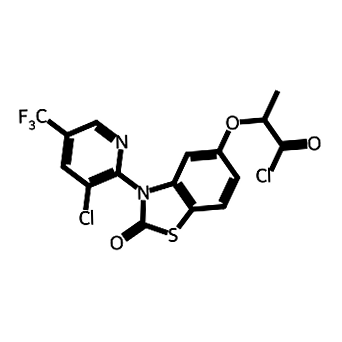 CC(Oc1ccc2sc(=O)n(-c3ncc(C(F)(F)F)cc3Cl)c2c1)C(=O)Cl